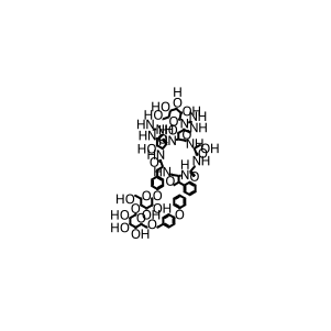 CC(c1ccccc1)C1NC(=O)CNC(=O)C(CO)NC(=O)C(C(O)C2CNC(=N)N2C2OC(CO)C(O)C(O)C2O)NC(=O)C(C(O)C2CNC(=N)N2)NC(=O)C(Cc2ccc(OC3OC(CO)C(OC4OC(COCc5ccc(Oc6ccccc6)cc5)C(O)C(O)C4O)C(O)C3O)cc2)NC1=O